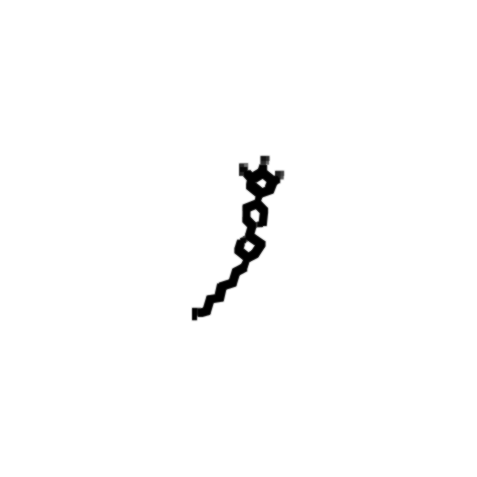 FCCC=CCCC[C@H]1CC[C@H]([C@H]2CC[C@H](c3cc(F)c(F)c(F)c3)CC2)CC1